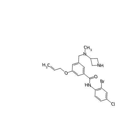 C=CCOc1cc(CN(C)C2CNC2)cc(C(=O)Nc2ccc(Cl)cc2Br)c1